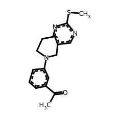 CSc1ncc2c(n1)CCN(c1cccc(C(C)=O)c1)C2